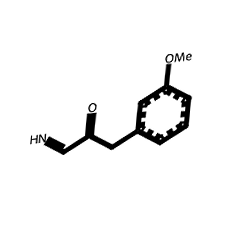 COc1cccc(CC(=O)C=N)c1